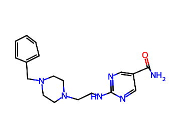 NC(=O)c1cnc(NCCN2CCN(Cc3ccccc3)CC2)nc1